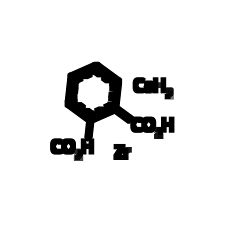 O=C(O)c1ccccc1C(=O)O.[CaH2].[Zr]